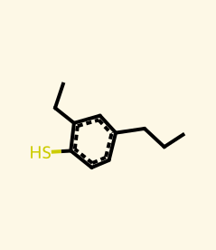 CCCc1ccc(S)c(CC)c1